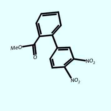 COC(=O)c1ccccc1-c1ccc([N+](=O)[O-])c([N+](=O)[O-])c1